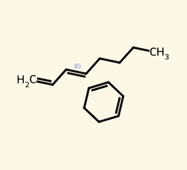 C1=CCCC=C1.C=C/C=C/CCCC